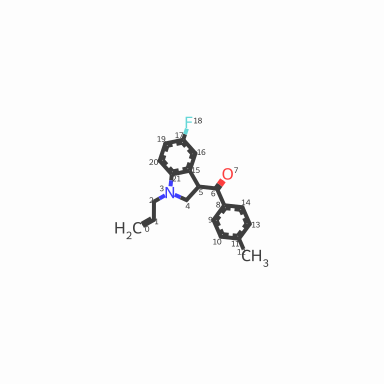 C=CCN1CC(C(=O)c2ccc(C)cc2)c2cc(F)ccc21